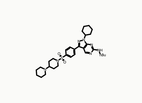 CCCCNc1ncc2c(-c3ccc(S(=O)(=O)N4CCC(N5CCCCC5)CC4)cc3)nn(C3CCCCC3)c2n1